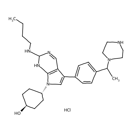 CCCCNC1N=Cc2c(-c3ccc(C(C)N4CCNCC4)cc3)cn([C@H]3CC[C@H](O)CC3)c2N1.Cl